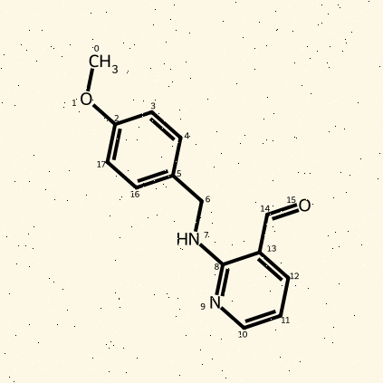 COc1ccc(CNc2ncccc2C=O)cc1